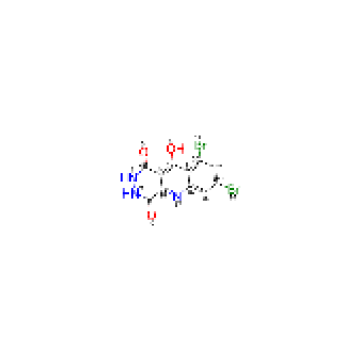 O=c1[nH][nH]c(=O)c2c(O)c3c(Br)cc(Br)cc3nc12